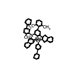 Cc1ccc(-c2ccccc2)cc1N1c2cc3ccccc3cc2Bc2c(-c3cc4ccccc4cc3Nc3ccc(-c4ccccc4)cc3)cc(-c3c(C)cccc3C)cc21